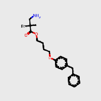 CCC(C)(CN)C(=O)OCCCCOc1ccc(Cc2ccccc2)cc1